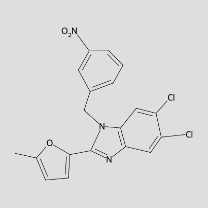 Cc1ccc(-c2nc3cc(Cl)c(Cl)cc3n2Cc2cccc([N+](=O)[O-])c2)o1